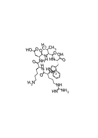 CC(C)[C@H](NC(=O)[C@H](CC(=O)O)NC(=O)[C@H](CCCCN)NC(=O)[C@@H](N)CCCNC(=N)N)C(=O)N[C@@H](Cc1c[nH]c2ccccc12)C(=O)O